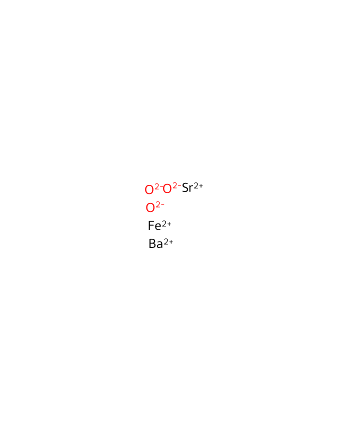 [Ba+2].[Fe+2].[O-2].[O-2].[O-2].[Sr+2]